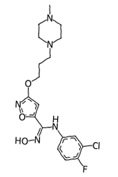 CN1CCN(CCCOc2cc(/C(=N\O)Nc3ccc(F)c(Cl)c3)on2)CC1